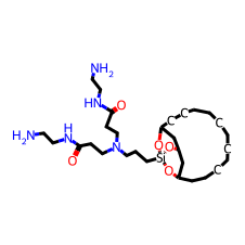 NCCNC(=O)CCN(CCC[Si]12OC3CCCCCCCCCCCC(CC(C3)O1)O2)CCC(=O)NCCN